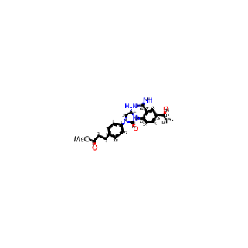 COC(=O)CCc1ccc(N2CCN(c3ccc(C(=O)C(C)C)cc3C(=N)N)C2=O)cc1